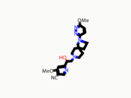 COc1ccc(N2CCC3(CCN(C[C@H](O)c4cc(OC)c(C#N)cn4)CC3)C2)nn1